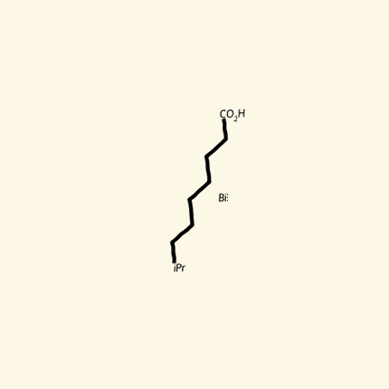 CC(C)CCCCCCC(=O)O.[Bi]